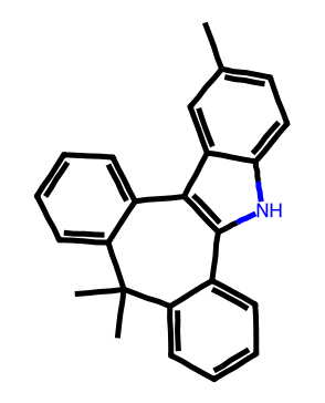 Cc1ccc2[nH]c3c(c2c1)-c1ccccc1C(C)(C)c1ccccc1-3